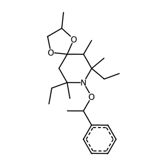 CCC1(C)CC2(OCC(C)O2)C(C)C(C)(CC)N1OC(C)c1ccccc1